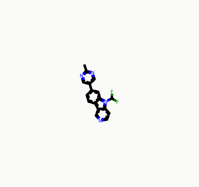 Cc1ncc(-c2ccc3c4cnccc4n(C(F)F)c3c2)cn1